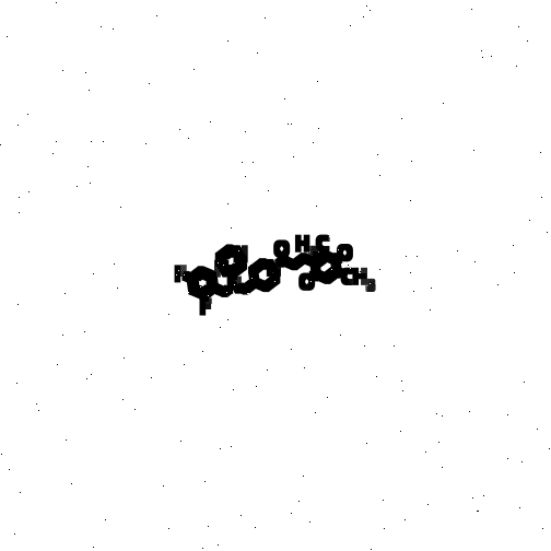 CC1=CC(=O)C(CCC(=O)N2CCC(CN(Cc3ccc(F)cc3F)c3cnccn3)CC2)=C(C)C1=O